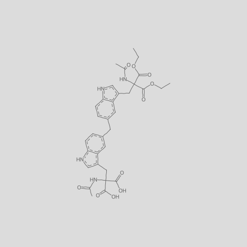 CCOC(=O)C(Cc1c[nH]c2ccc(Cc3ccc4[nH]cc(CC(NC(C)=O)(C(=O)O)C(=O)O)c4c3)cc12)(NC(C)=O)C(=O)OCC